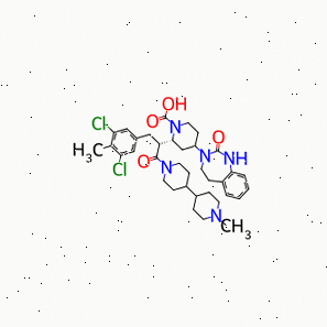 Cc1c(Cl)cc(CC(C(=O)N2CCC(C3CCN(C)CC3)CC2)[C@H]2CC(N3CCc4ccccc4NC3=O)CCN2C(=O)O)cc1Cl